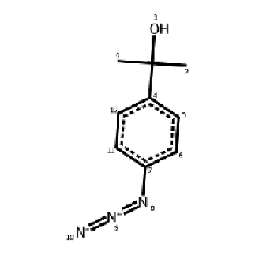 CC(C)(O)c1ccc(N=[N+]=[N-])cc1